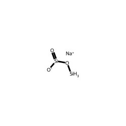 O=[Si]([O-])O[SiH3].[Na+]